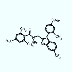 CCCN(Cc1nc2cc(C(F)(F)F)ccc2n1-c1ccc(OC)cc1C)C(=O)c1c(C)cc(C)cc1C